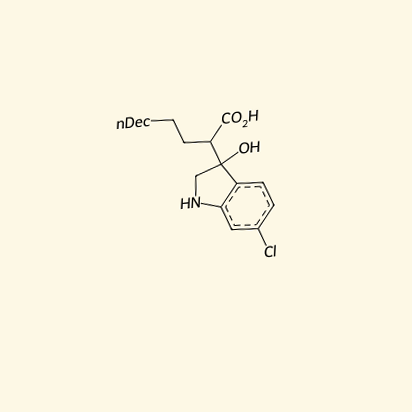 CCCCCCCCCCCCC(C(=O)O)C1(O)CNc2cc(Cl)ccc21